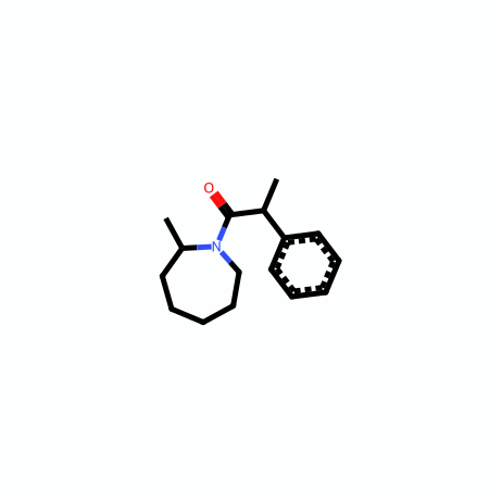 CC(C(=O)N1CCCCCC1C)c1ccccc1